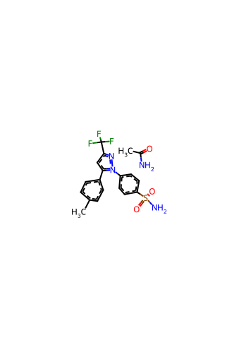 CC(N)=O.Cc1ccc(-c2cc(C(F)(F)F)nn2-c2ccc(S(N)(=O)=O)cc2)cc1